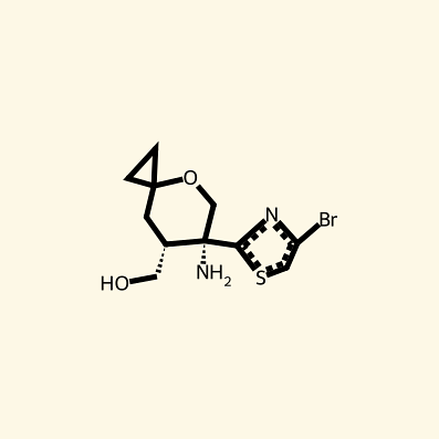 N[C@@]1(c2nc(Br)cs2)COC2(CC2)C[C@H]1CO